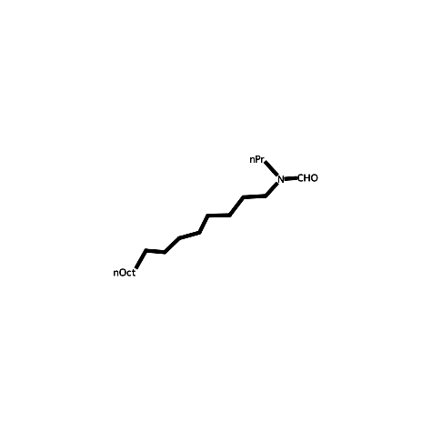 CCCCCCCCCCCCCCCCN(C=O)CCC